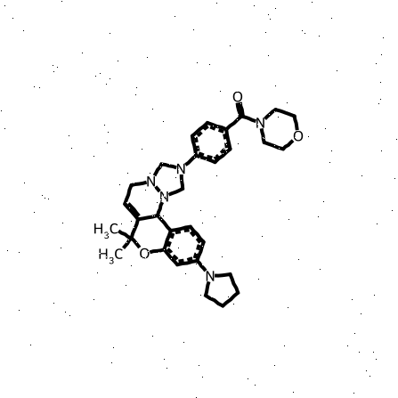 CC1(C)Oc2cc(N3CCCC3)ccc2C2C1=CCN1CN(c3ccc(C(=O)N4CCOCC4)cc3)CN21